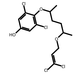 CC(CCC(C)Oc1c(Cl)cc(O)cc1Cl)OCC=C(Cl)Cl